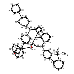 CC1(C)c2ccccc2-c2ccc(N3c4ccccc4C4(c5ccccc5N(c5ccc(-c6ccccc6)cc5)c5ccc(-c6ccccc6)cc54)c4cc(-c5ccccc5)ccc43)cc21